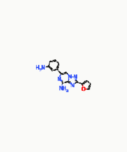 Nc1cccc(-c2cn3nc(-c4ccco4)nc3c(N)n2)c1